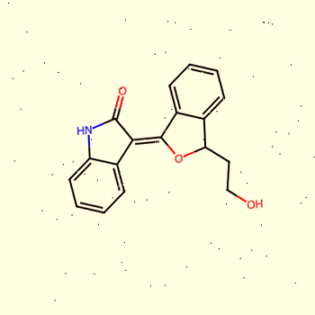 O=C1Nc2ccccc2/C1=C1\OC(CCO)c2ccccc21